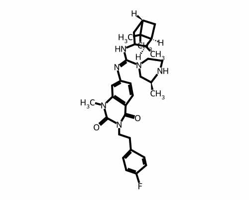 C[C@H]1CN(C(=Nc2ccc3c(=O)n(CCc4ccc(F)cc4)c(=O)n(C)c3c2)NC2C[C@@H]3C[C@@H]([C@H]2C)C3(C)C)CCN1